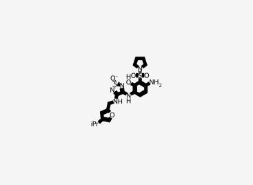 CC(C)c1coc(CNc2n[s+]([O-])nc2Nc2ccc(N)c(S(=O)(=O)N3CCCC3)c2O)c1